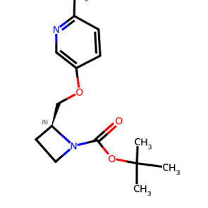 Cc1ccc(OC[C@@H]2CCN2C(=O)OC(C)(C)C)cn1